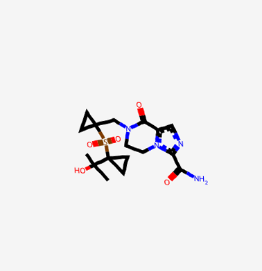 CC(C)(O)C1(S(=O)(=O)C2(CN3CCn4c(cnc4C(N)=O)C3=O)CC2)CC1